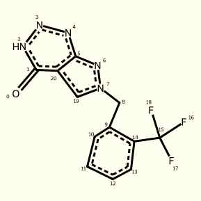 O=c1[nH]nnc2nn(Cc3ccccc3C(F)(F)F)cc12